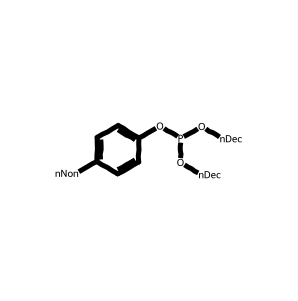 CCCCCCCCCCOP(OCCCCCCCCCC)Oc1ccc(CCCCCCCCC)cc1